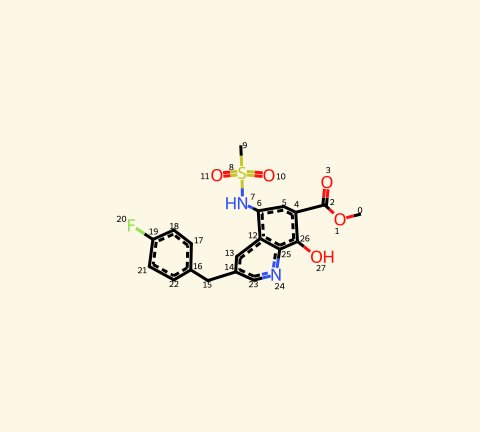 COC(=O)c1cc(NS(C)(=O)=O)c2cc(Cc3ccc(F)cc3)cnc2c1O